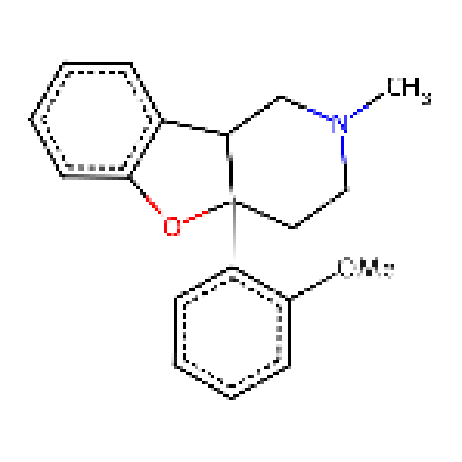 COc1ccccc1C12CCN(C)CC1c1ccccc1O2